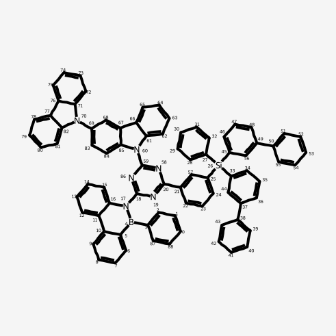 c1ccc(B2c3ccccc3-c3ccccc3N2c2nc(-c3cccc([Si](c4ccccc4)(c4cccc(-c5ccccc5)c4)c4cccc(-c5ccccc5)c4)c3)nc(-n3c4ccccc4c4cc(-n5c6ccccc6c6ccccc65)ccc43)n2)cc1